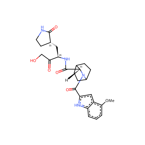 COc1cccc2[nH]c(C(=O)N3C4CCC(CC4)[C@H]3C(=O)N[C@H](C[C@@H]3CCNC3=O)C(=O)CO)cc12